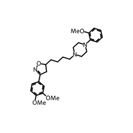 COc1ccc(C2=NOC(CCCCN3CCN(c4ccccc4OC)CC3)C2)cc1OC